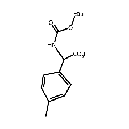 Cc1ccc(C(NC(=O)OC(C)(C)C)C(=O)O)cc1